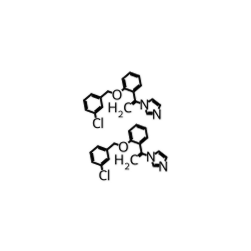 C=C(c1ccccc1OCc1cccc(Cl)c1)n1ccnc1.C=C(c1ccccc1OCc1cccc(Cl)c1)n1ccnc1